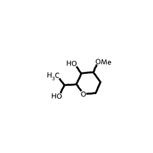 COC1CCOC(C(C)O)C1O